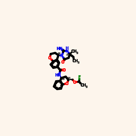 CC[C@]1(C)CC(=O)N([C@@H]2CCOc3ccc(C(=O)N[C@@H]4C[C@H](COC(C)F)Oc5ccccc54)cc32)C(=N)N1